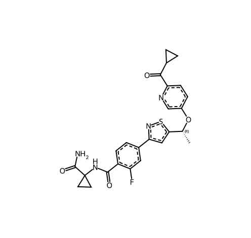 C[C@@H](Oc1ccc(C(=O)C2CC2)nc1)c1cc(-c2ccc(C(=O)NC3(C(N)=O)CC3)c(F)c2)ns1